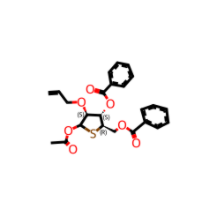 C=CCO[C@@H]1C(OC(C)=O)S[C@H](COC(=O)c2ccccc2)[C@H]1OC(=O)c1ccccc1